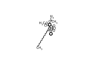 CCCCCCCCCCCCCCCCOc1cc(OC(C)C)c(OC(C)C)cc1C(=O)C(Cl)(Cl)C(=O)Nc1ccccc1